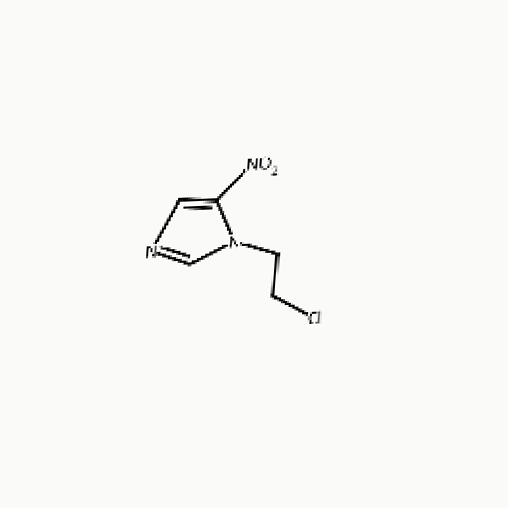 O=[N+]([O-])c1cncn1CCCl